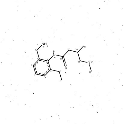 CCc1cccc(CN)c1NC(=O)CC(C)COC